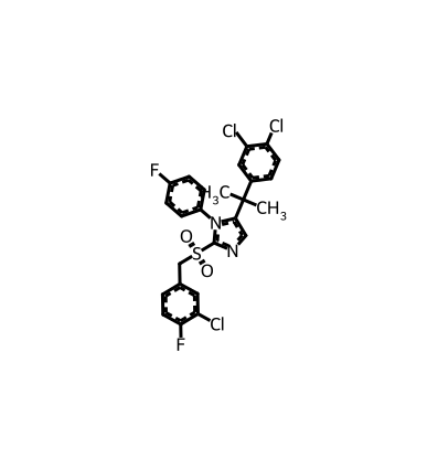 CC(C)(c1ccc(Cl)c(Cl)c1)c1cnc(S(=O)(=O)Cc2ccc(F)c(Cl)c2)n1-c1ccc(F)cc1